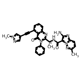 Cc1ccc2nc(N)c(C(=O)N[C@H](C)c3nc4cccc(C#Cc5cnn(C)c5)c4c(=O)n3-c3ccccc3)n2n1